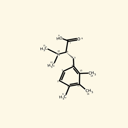 Cc1ccc(C[C@@H](C(=O)O)N(C)C)c(C)c1C